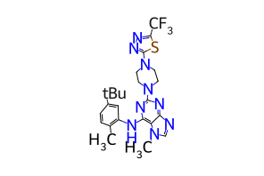 Cc1ccc(C(C)(C)C)cc1Nc1nc(N2CCN(c3nnc(C(F)(F)F)s3)CC2)nc2ncn(C)c12